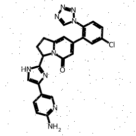 Nc1ccc(-c2c[nH]c(C3CCc4cc(-c5cc(Cl)ccc5-n5cnnn5)cc(=O)n43)n2)cn1